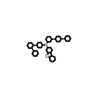 c1ccc(-c2ccc(-c3cccc(N(c4ccc(-c5ccccc5-c5ccccc5)cc4)c4ccc5c(c4)oc4ccccc45)c3)cc2)cc1